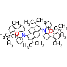 Cc1ccc(C(C)(C)C)c2oc3c(N(c4ccccc4)c4cc(C(C)C)c5ccc6c(N(c7ccccc7)c7cccc8c7oc7c(C(C)(C)C)ccc(C)c78)cc(C(C)C)c7ccc4c5c76)cccc3c12